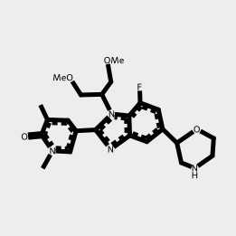 COCC(COC)n1c(-c2cc(C)c(=O)n(C)c2)nc2cc(C3CNCCO3)cc(F)c21